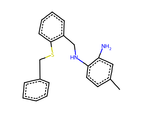 Cc1ccc(NCc2ccccc2SCc2ccccc2)c(N)c1